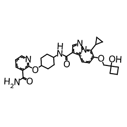 NC(=O)c1cccnc1OC1CCC(NC(=O)c2cnn3c(C4CC4)c(OCC4(O)CCC4)ccc23)CC1